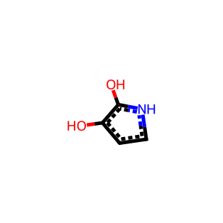 Oc1cc[nH]c1O